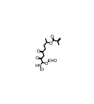 C=C(C)C(=O)OC(C)CCC(=O)CC(=O)C(NCC)OC=O